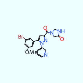 COc1cc(Br)cc(-c2cc(C(=O)N3CNC(=O)C3)nn2-c2cccnc2)c1